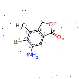 Cc1c(Br)c(N)cc2c1COC2=O